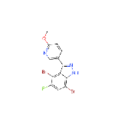 COc1ccc(-c2n[nH]c3c(Br)cc(F)c(Br)c23)cn1